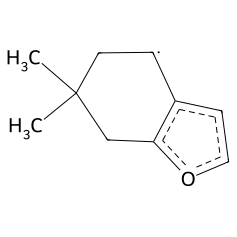 CC1(C)C[CH]c2ccoc2C1